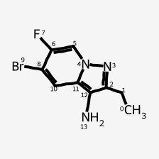 CCc1nn2cc(F)c(Br)cc2c1N